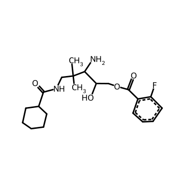 CC(C)(CNC(=O)C1CCCCC1)C(N)C(O)COC(=O)c1ccccc1F